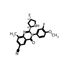 COc1ccc(-n2c([C@H]3C[C@H](F)CN3)nc3c(C)cc(C#N)cc3c2=O)cc1F